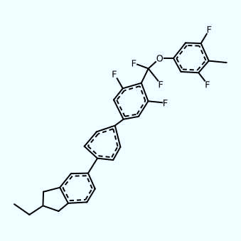 CCC1Cc2ccc(-c3ccc(-c4cc(F)c(C(F)(F)Oc5cc(F)c(C)c(F)c5)c(F)c4)cc3)cc2C1